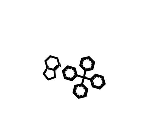 C1CN=C2CCCN2C1.c1ccc([B-](c2ccccc2)(c2ccccc2)c2ccccc2)cc1